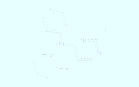 Clc1ncc(Cc2ccccc2)c(Nc2ccccc2)n1